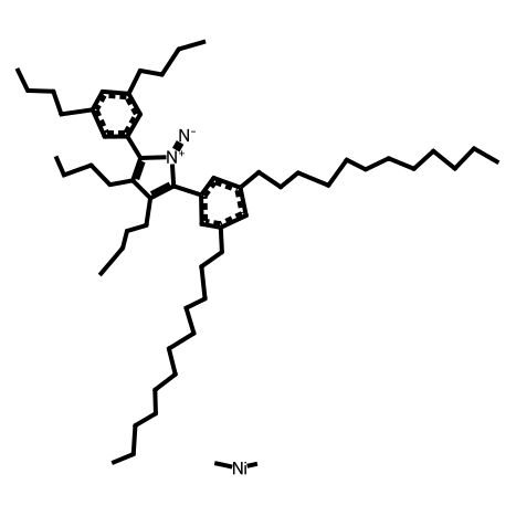 CCCCCCCCCCCCc1cc(CCCCCCCCCCCC)cc(C2=C(CCCC)C(CCCC)=C(c3cc(CCCC)cc(CCCC)c3)[N+]2=[N-])c1.[CH3][Ni][CH3]